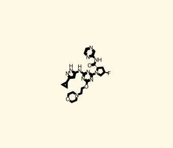 O=C(Nc1cnccn1)[C@@H]1C[C@@H](F)CN1c1nc(Nc2cc(C3CC3)n[nH]2)nc(OCCN2CCOCC2)n1